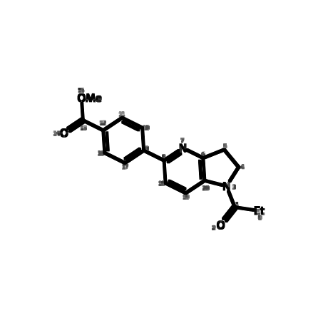 CCC(=O)N1CCc2nc(-c3ccc(C(=O)OC)cc3)ccc21